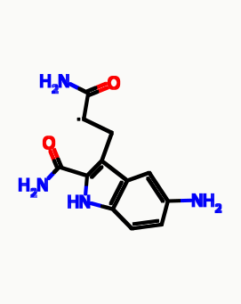 NC(=O)[CH]Cc1c(C(N)=O)[nH]c2ccc(N)cc12